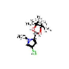 Cn1cc(Cl)cc1B1OC(C)(C)C(C)(C)O1